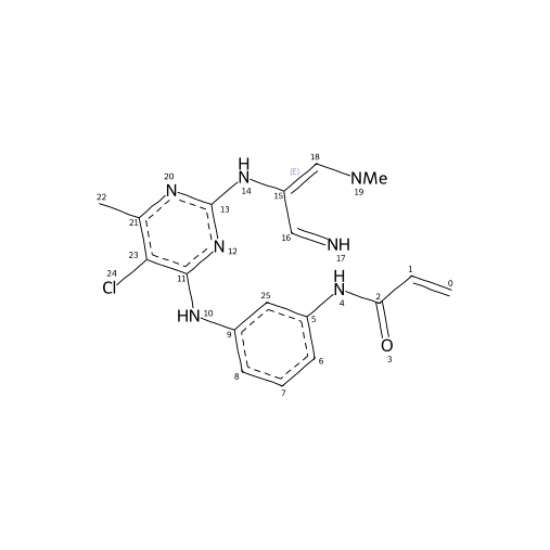 C=CC(=O)Nc1cccc(Nc2nc(N/C(C=N)=C/NC)nc(C)c2Cl)c1